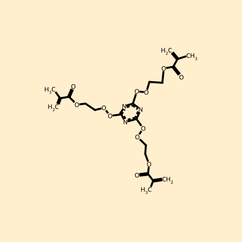 C=C(C)C(=O)OCCOOc1nc(OOCCOC(=O)C(=C)C)nc(OOCCOC(=O)C(=C)C)n1